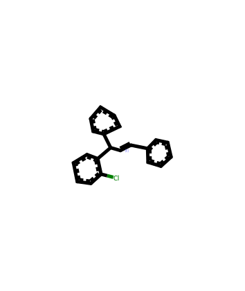 Clc1ccccc1C(/C=C/c1ccccc1)c1ccccc1